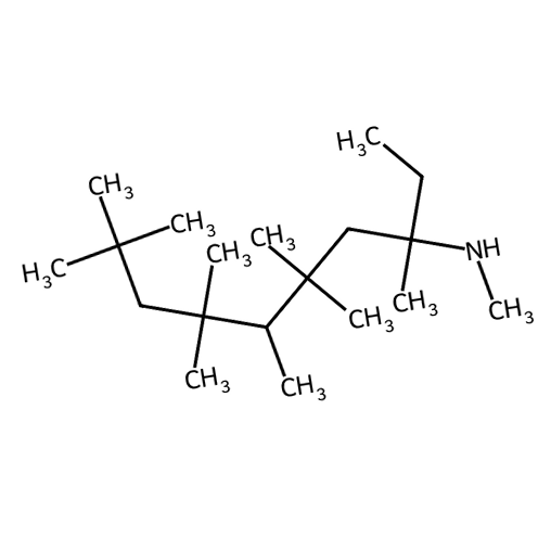 CCC(C)(CC(C)(C)C(C)C(C)(C)CC(C)(C)C)NC